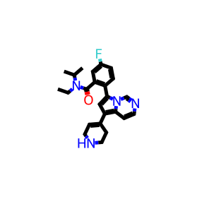 CCN(C(=O)c1cc(F)ccc1-c1cc(C2=CCNCC2)c2ccncn12)C(C)C